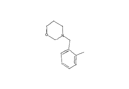 Cc1ccccc1CN1CCCOC1